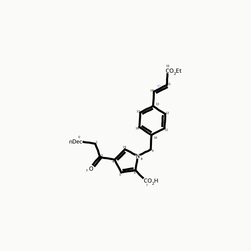 CCCCCCCCCCCC(=O)c1cc(C(=O)O)n(Cc2ccc(/C=C/C(=O)OCC)cc2)c1